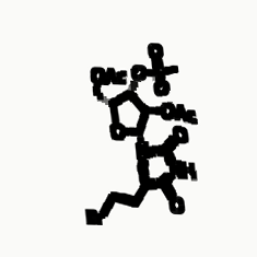 CC(=O)OC[C@H]1O[C@@H](n2cc(/C=C/Br)c(=O)[nH]c2=O)[C@H](OC(C)=O)[C@H]1OS(C)(=O)=O